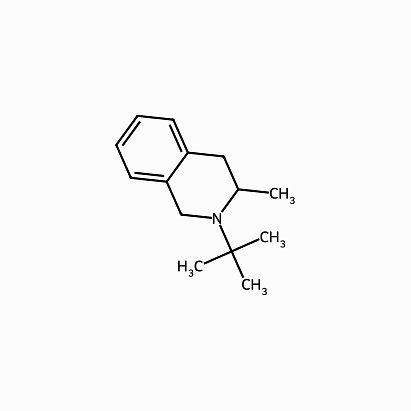 CC1Cc2ccccc2CN1C(C)(C)C